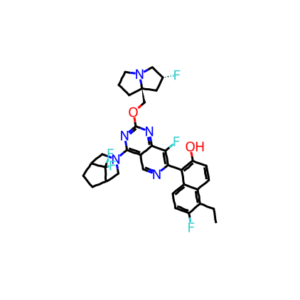 CCc1c(F)ccc2c(-c3ncc4c(N5CC6CCC(C5)C6(F)F)nc(OC[C@@]56CCCN5C[C@H](F)C6)nc4c3F)c(O)ccc12